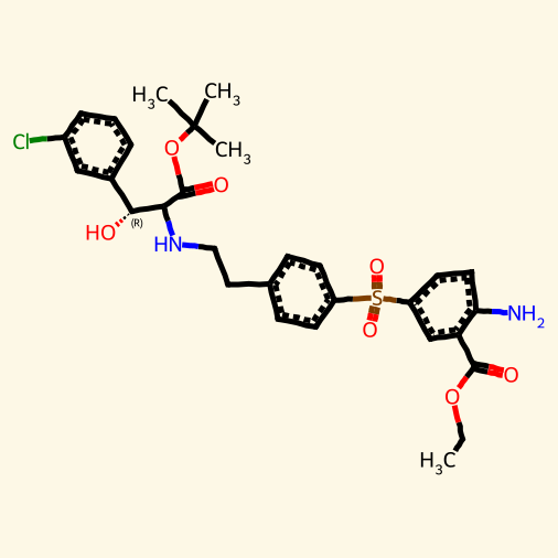 CCOC(=O)c1cc(S(=O)(=O)c2ccc(CCNC(C(=O)OC(C)(C)C)[C@H](O)c3cccc(Cl)c3)cc2)ccc1N